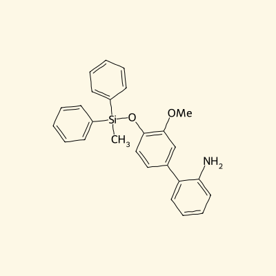 COc1cc(-c2ccccc2N)ccc1O[Si](C)(c1ccccc1)c1ccccc1